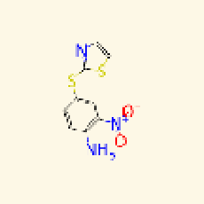 Nc1ccc(Sc2nccs2)cc1[N+](=O)[O-]